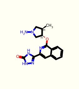 C[C@@H]1CN(N)C[C@H]1Oc1nc(-c2n[nH]c(=O)[nH]2)cc2ccccc12